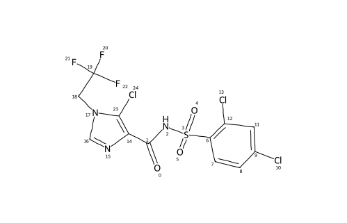 O=C(NS(=O)(=O)c1ccc(Cl)cc1Cl)c1ncn(CC(F)(F)F)c1Cl